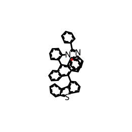 c1ccc(-c2nc3ccccc3n2-c2ccccc2-c2c3ccccc3c(-c3cccc4sc5ccccc5c34)c3ccccc23)cc1